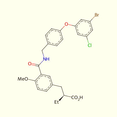 CC[C@@H](Cc1ccc(OC)c(C(=O)NCc2ccc(Oc3cc(Cl)cc(Br)c3)cc2)c1)C(=O)O